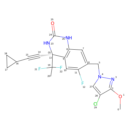 COc1nn(Cc2cc3c(cc2F)[C@@](C#CC2CC2)(C(C)(F)F)NC(=O)N3)cc1Cl